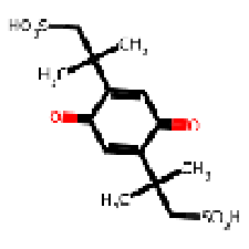 CC(C)(CS(=O)(=O)O)C1=CC(=O)C(C(C)(C)CS(=O)(=O)O)=CC1=O